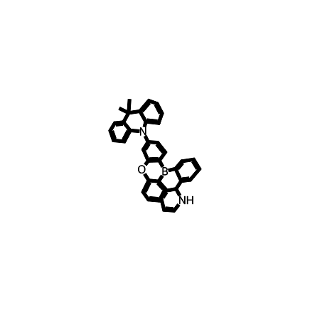 CC1(C)c2ccccc2N(c2ccc3c(c2)Oc2ccccc2B3c2ccccc2C2C=CC=CN2)c2ccccc21